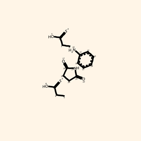 CCC(O)=S.CCC(O)=S.Nc1ccccc1.O=C1CCC(=O)N1